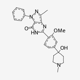 COc1cc(C2(O)CCN(C)CC2)ccc1-c1nc2c(C)nn(-c3ccccc3)c2c(=O)[nH]1